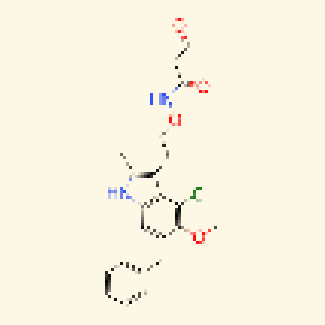 COc1c(Cc2ccccc2)cc2[nH]c(C)c(CCONC(=O)CC=O)c2c1Cl